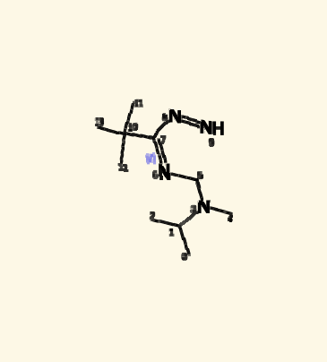 CC(C)N(C)C/N=C(\N=N)C(C)(C)C